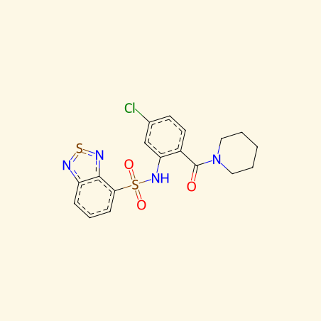 O=C(c1ccc(Cl)cc1NS(=O)(=O)c1cccc2nsnc12)N1CCCCC1